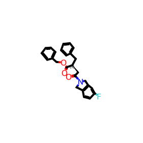 O=C(OCc1ccccc1)[C@H](CC(=O)N1Cc2ccc(F)cc2C1)Cc1ccccc1